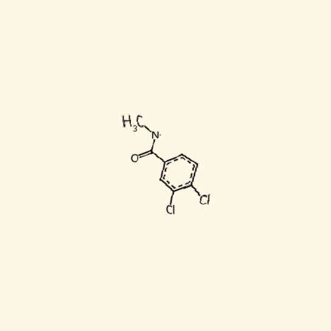 C[N]C(=O)c1ccc(Cl)c(Cl)c1